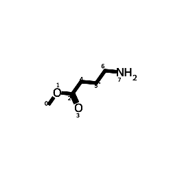 COC(=O)C[CH]CN